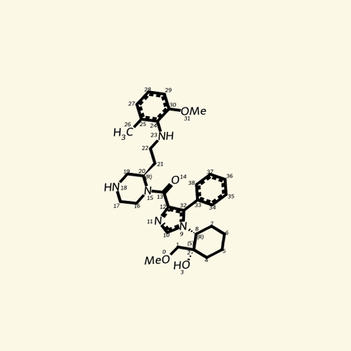 COC[C@]1(O)CCCC[C@H]1n1cnc(C(=O)N2CCNC[C@H]2CCNc2c(C)cccc2OC)c1-c1ccccc1